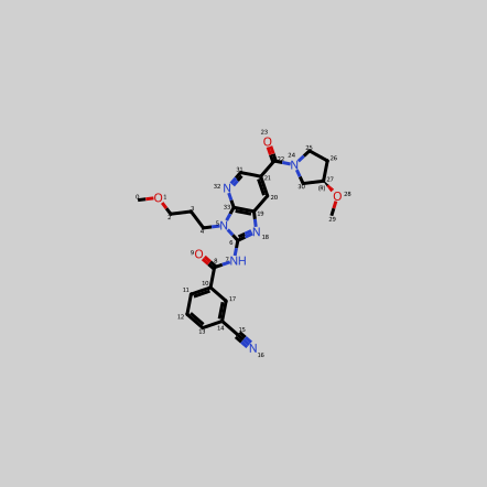 COCCCn1c(NC(=O)c2cccc(C#N)c2)nc2cc(C(=O)N3CC[C@@H](OC)C3)cnc21